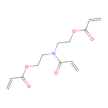 C=CC(=O)OCCN(CCOC(=O)C=C)C(=O)C=C